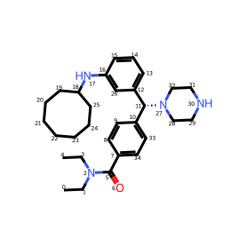 CCN(CC)C(=O)c1ccc([C@H](c2cccc(NC3CCCCCCC3)c2)N2CCNCC2)cc1